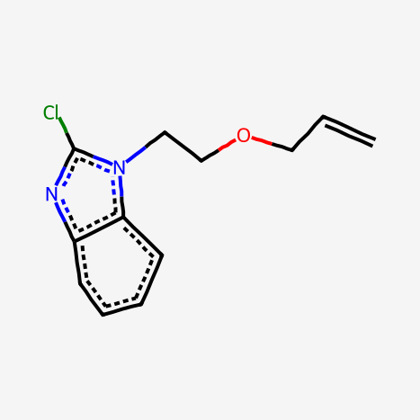 C=CCOCCn1c(Cl)nc2ccccc21